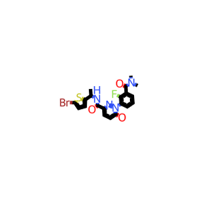 CC(NC(=O)c1ccc(=O)n(-c2cccc(C(=O)N(C)C)c2F)n1)c1ccc(Br)s1